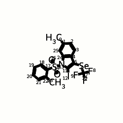 Cc1ccc2c([Se]C(F)(F)F)c(I)n(S(=O)(=O)c3ccccc3C)c2c1